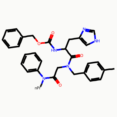 CCCN(C(=O)CN(Cc1ccc(C)cc1)C(=O)C(Cc1c[nH]cn1)NC(=O)OCc1ccccc1)c1ccccc1